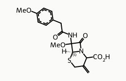 C=C1CS[C@@H]2N(C(=O)C2(NC(=O)Cc2ccc(OC)cc2)OC)C1C(=O)O